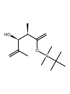 C=C(C)[C@@H](O)[C@@H](C)C(=C)O[Si](C)(C)C(C)(C)C